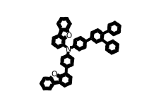 c1ccc(-c2ccc(-c3ccc(N(c4ccc(-c5cccc6c5oc5ccccc56)cc4)c4cccc5c4oc4ccccc45)cc3)cc2-c2ccccc2)cc1